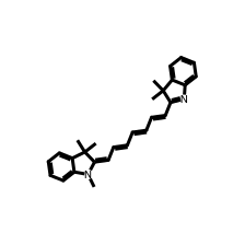 CN1/C(=C/C=C/C=C/C=C/C2=Nc3ccccc3C2(C)C)C(C)(C)c2ccccc21